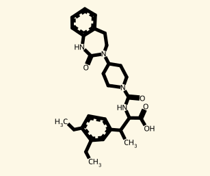 CCc1ccc(C(C)C(NC(=O)N2CCC(N3CCc4ccccc4NC3=O)CC2)C(=O)O)cc1CC